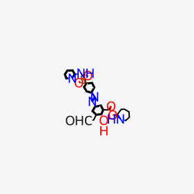 O=CCc1cc(N=Nc2ccc(S(=O)(=O)Nc3ccccn3)cc2)cc(C(=O)OC2CCCCCN2)c1O